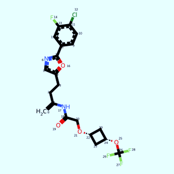 C=C(CCc1cnc(-c2ccc(Cl)c(F)c2)o1)NC(=O)CO[C@H]1C[C@@H](OC(F)(F)F)C1